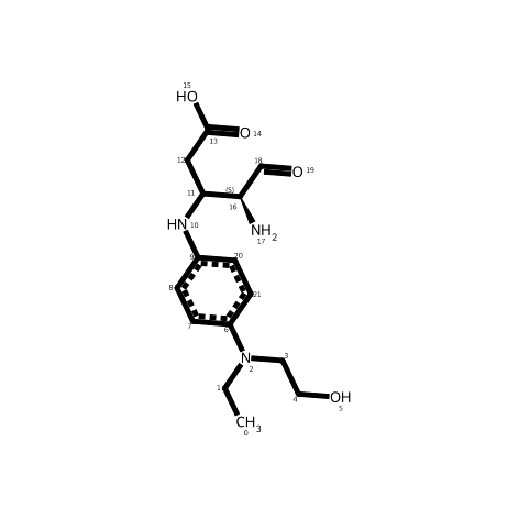 CCN(CCO)c1ccc(NC(CC(=O)O)[C@H](N)C=O)cc1